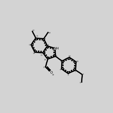 CCc1ccc(-c2[nH]c3c(C)c(C)ccc3c2C=O)cc1